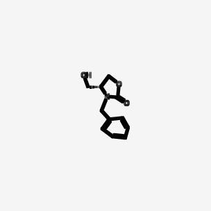 O=C1OC[C@@H](CO)N1Cc1ccccc1